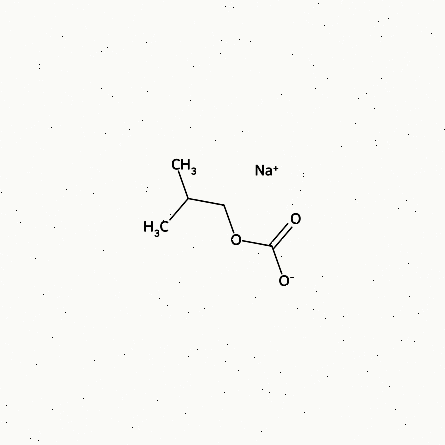 CC(C)COC(=O)[O-].[Na+]